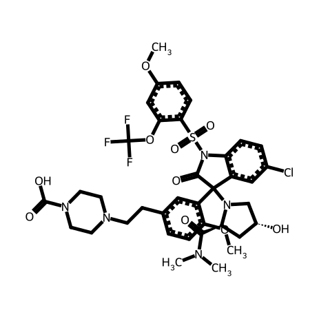 COc1ccc(S(=O)(=O)N2C(=O)C(c3cc(CCN4CCN(C(=O)O)CC4)ccc3OC)(N3C[C@H](O)C[C@H]3C(=O)N(C)C)c3cc(Cl)ccc32)c(OC(F)(F)F)c1